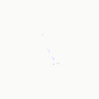 C[n+]1ccn(CCCS)c1